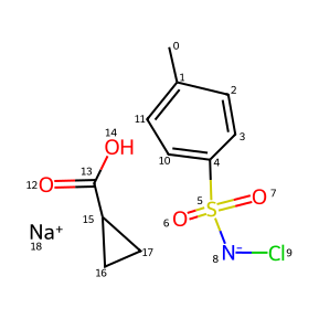 Cc1ccc(S(=O)(=O)[N-]Cl)cc1.O=C(O)C1CC1.[Na+]